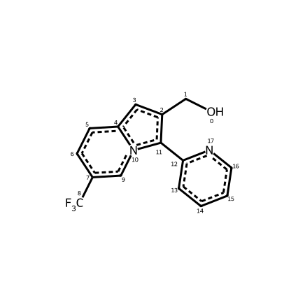 OCc1cc2ccc(C(F)(F)F)cn2c1-c1ccccn1